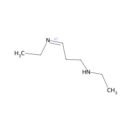 CC/N=C\CCNCC